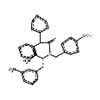 COc1ccc(CN(C(=O)C(c2ccccc2)c2ccccc2)[C@H](Cc2cccc([N+](=O)[O-])c2)C(N)=O)cc1